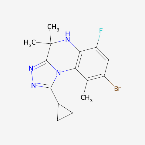 Cc1c(Br)cc(F)c2c1-n1c(C3CC3)nnc1C(C)(C)N2